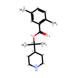 Cc1ccc(C)c(C(=O)OC(C)(C)C2CCNCC2)c1